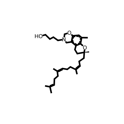 CC(C)=CCCC(C)=CCCC(C)=CCC[C@]1(C)CCc2c3c(cc(C)c2O1)OCN(CCCCO)C3